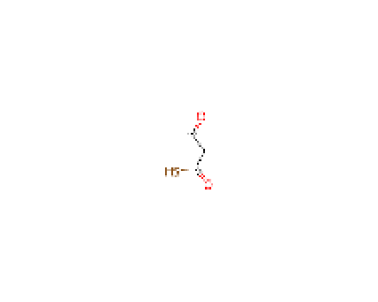 O=[C]CC(=O)S